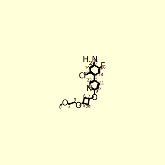 COCCOC1CC(Oc2ccc(-c3cc(F)c(N)cc3Cl)cn2)C1